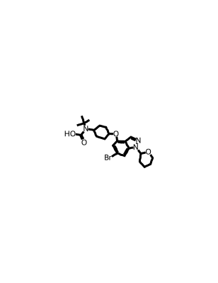 CC(C)(C)N(C(=O)O)C1CCC(Oc2cc(Br)cc3c2cnn3C2CCCCO2)CC1